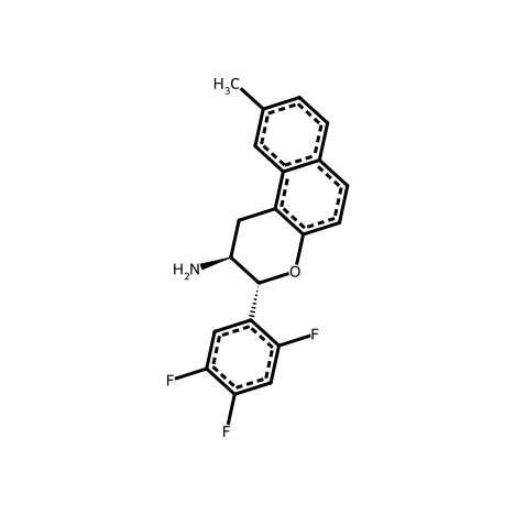 Cc1ccc2ccc3c(c2c1)C[C@H](N)[C@@H](c1cc(F)c(F)cc1F)O3